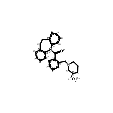 CCOC(=O)[C@@H]1CCCN(Cc2ccccc2C(=O)N2c3ccccc3CCc3ccccc32)C1